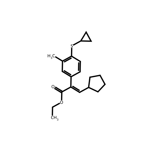 CCOC(=O)/C(=C/C1CCCC1)c1ccc(SC2CC2)c(C)c1